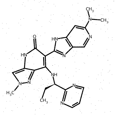 CC[C@@H](Nc1c(-c2nc3cnc(N(C)C)cc3[nH]2)c(=O)[nH]c2cn(C)nc12)c1ncccn1